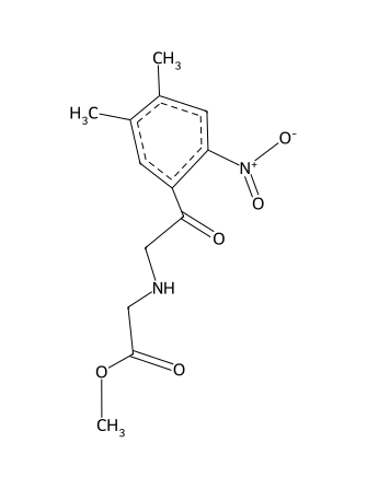 COC(=O)CNCC(=O)c1cc(C)c(C)cc1[N+](=O)[O-]